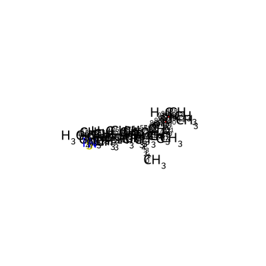 CCCCCCCCC1(C)c2cc(C(C)(C)C(C)(C)c3ccc4c(c3)C(C)(C)c3cc(C(C)(C)C(C)(C)c5ccc(C(C)(C)C)c6nsnc56)ccc3-4)ccc2-c2ccc(C(C)(C)C3(C)CC(C)(C)c4ccc5c(c4)C46c7cc(ccc7-5)C(C)(C)CC(C)(C)c5ccc(c4c5)-c4ccc3cc46)cc21